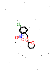 O=[N+]([O-])c1cc(Cl)ccc1COC1CCCCO1